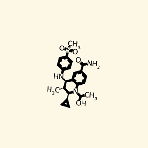 CC(O)N1c2ccc(C(N)=O)cc2[C@H](Nc2ccc(S(C)(=O)=O)cc2)[C@@H](C)[C@@H]1C1CC1